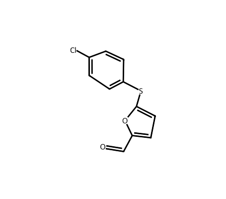 O=Cc1ccc(Sc2ccc(Cl)cc2)o1